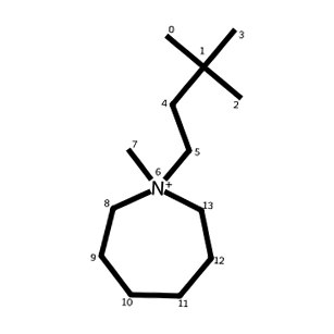 CC(C)(C)CC[N+]1(C)CCCCCC1